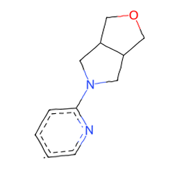 [c]1ccc(N2CC3COCC3C2)nc1